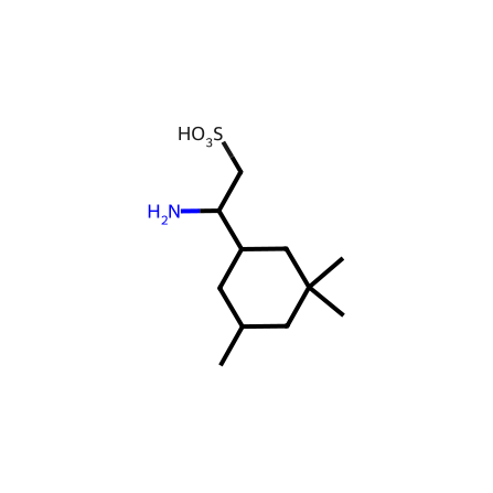 CC1CC(C(N)CS(=O)(=O)O)CC(C)(C)C1